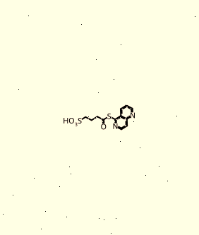 O=C(CCCS(=O)(=O)O)Sc1nccc2ncccc12